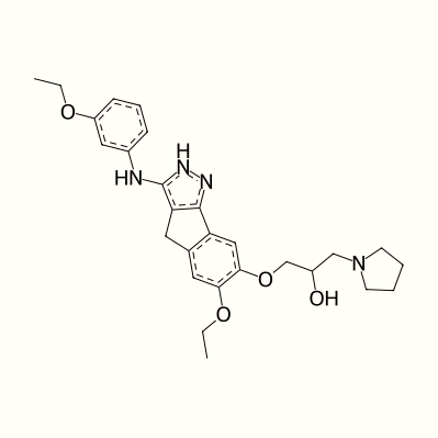 CCOc1cccc(Nc2[nH]nc3c2Cc2cc(OCC)c(OCC(O)CN4CCCC4)cc2-3)c1